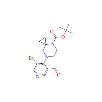 CC(C)(C)OC(=O)N1CCN(c2c(Br)cncc2C=O)CC12CC2